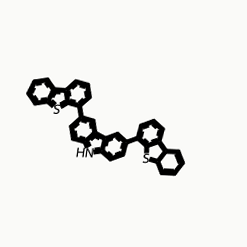 C1=CC2Sc3c(-c4ccc5[nH]c6ccc(-c7cccc8c7sc7ccccc78)cc6c5c4)cccc3C2C=C1